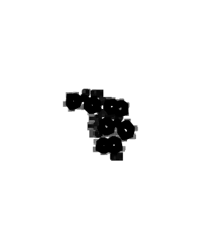 C1=CCC2=CC=CCC2=C1.O=C(C1=C(O)C(O)C(O)(O)C=C1)c1ccccc1.O=C(c1ccccc1)c1ccc(O)c(O)c1O.Oc1cccc2ccccc12